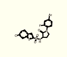 CC(=O)c1ccc(N2CCC(NS(=O)(=O)c3cc4ccc(Cl)cc4s3)C2=O)c(F)c1